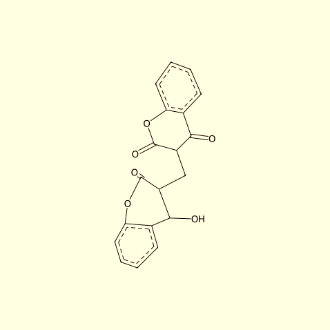 O=C1Oc2ccccc2C(=O)C1CC1C(=O)Oc2ccccc2C1O